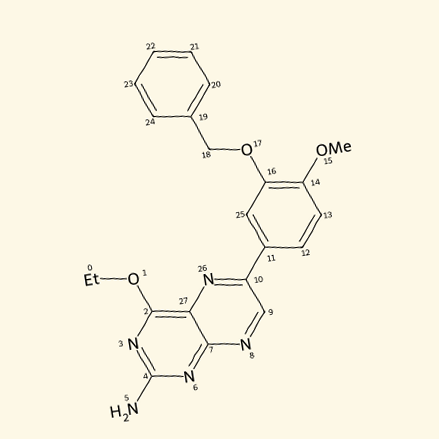 CCOc1nc(N)nc2ncc(-c3ccc(OC)c(OCc4ccccc4)c3)nc12